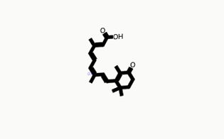 CC(C=C/C=C(/C)C=CC1=C(C)C(=O)CCC1(C)C)=CC(=O)O